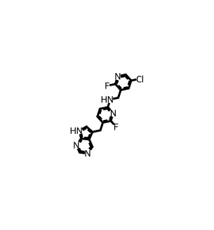 Fc1ncc(Cl)cc1CNc1ccc(Cc2c[nH]c3ncncc23)c(F)n1